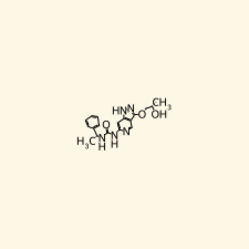 C[C@H](O)COc1n[nH]c2cc(NC(=O)N[C@H](C)c3ccccc3)ncc12